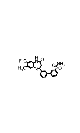 Cc1cc2c(cc1C(F)(F)F)NC(=O)CC(c1cccc(-c3cccc(S(N)(=O)=O)c3)c1)=N2